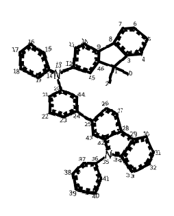 CC1(C)c2ccccc2-c2ccc(N(c3ccccc3)c3cccc(-c4ccc5c6ccccc6n(-c6ccccc6)c5c4)c3)cc21